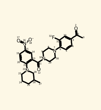 CC(=O)c1ccc(N2CCN(C(=O)c3cc([N+](=O)[O-])ccc3N3CCCC(C)C3)CC2)c(F)c1